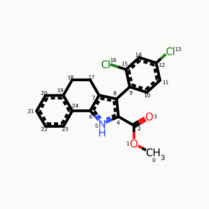 COC(=O)c1[nH]c2c(c1-c1ccc(Cl)cc1Cl)CCc1ccccc1-2